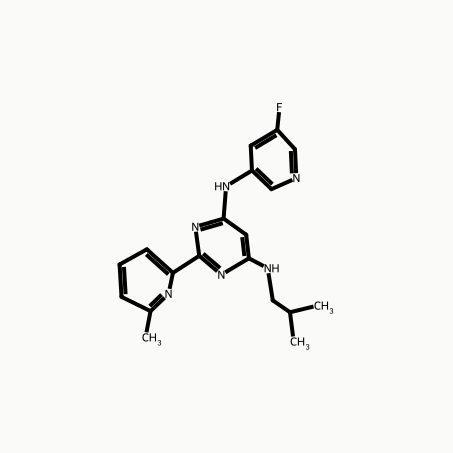 Cc1cccc(-c2nc(NCC(C)C)cc(Nc3cncc(F)c3)n2)n1